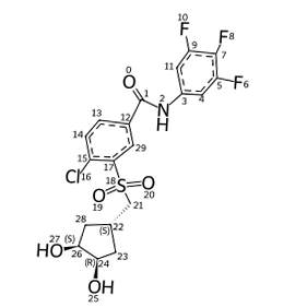 O=C(Nc1cc(F)c(F)c(F)c1)c1ccc(Cl)c(S(=O)(=O)C[C@@H]2C[C@@H](O)[C@@H](O)C2)c1